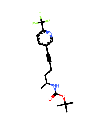 CC(CCC#Cc1ccc(C(F)(F)F)nc1)NC(=O)OC(C)(C)C